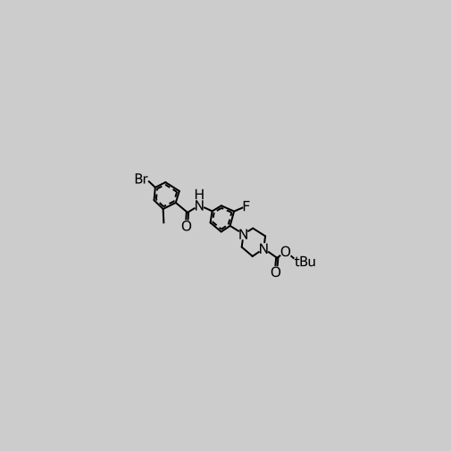 Cc1cc(Br)ccc1C(=O)Nc1ccc(N2CCN(C(=O)OC(C)(C)C)CC2)c(F)c1